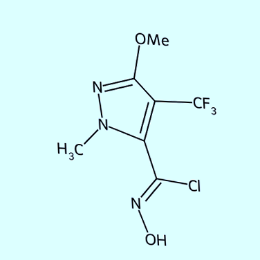 COc1nn(C)c(C(Cl)=NO)c1C(F)(F)F